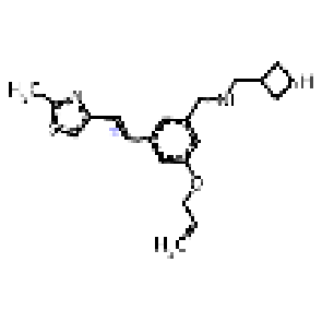 C=CCOc1cc(/C=C/c2csc(C)n2)cc(CNCC2CNC2)c1